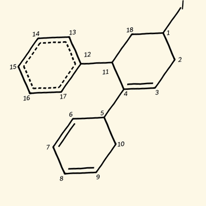 IC1CC=C(C2C=CC=CC2)C(c2ccccc2)C1